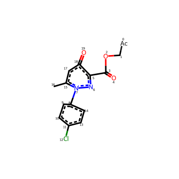 CC(=O)COC(=O)c1nn(-c2ccc(Cl)cc2)c(C)cc1=O